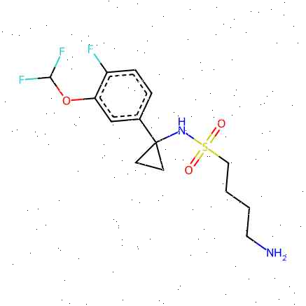 NCCCCS(=O)(=O)NC1(c2ccc(F)c(OC(F)F)c2)CC1